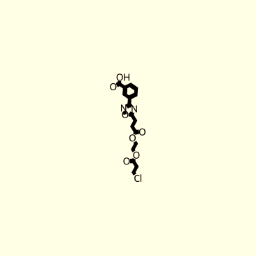 O=C(CCCl)OCCOC(=O)CCc1nc(-c2cccc(C(=O)O)c2)no1